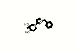 CC1(O)CN(c2ccn(Cc3ccccc3)n2)CC[C@H]1O